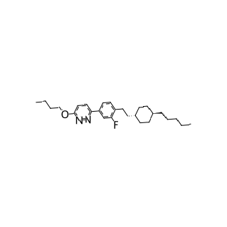 CCCCC[C@H]1CC[C@H](CCc2ccc(-c3ccc(OCCCC)nn3)cc2F)CC1